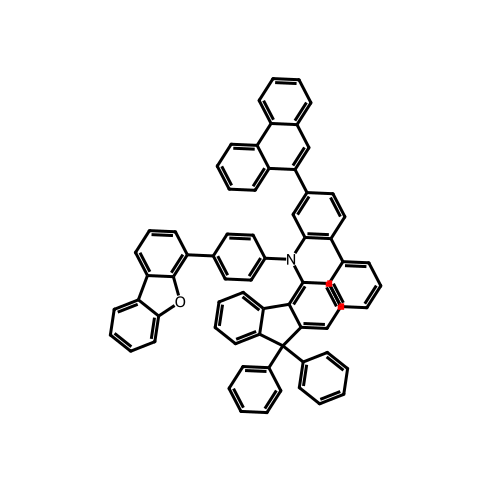 c1ccc(-c2ccc(-c3cc4ccccc4c4ccccc34)cc2N(c2ccc(-c3cccc4c3oc3ccccc34)cc2)c2cccc3c2-c2ccccc2C3(c2ccccc2)c2ccccc2)cc1